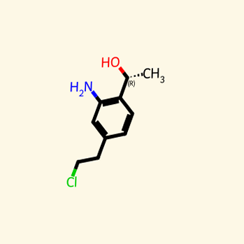 C[C@@H](O)c1ccc(CCCl)cc1N